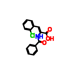 O=C(O)C(=Cc1ccccc1Cl)NC(=O)c1ccccc1